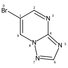 Brc1cnc2ncnn2c1